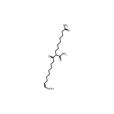 CCCCCCCC/C=C\CCCCCCCC(=O)C(CCCCCCCC(N)=O)C(N)=O